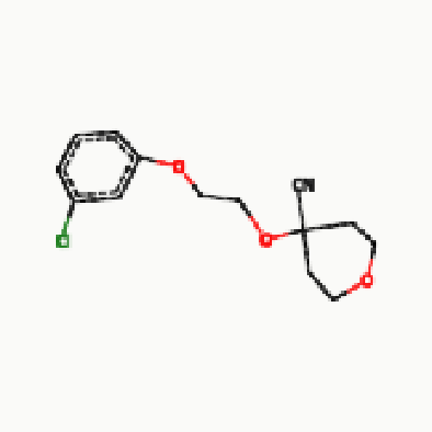 N#CC1(OCCOc2cccc(Cl)c2)CCOCC1